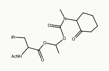 CC(=O)NC(CC(C)C)C(=O)OC(C)OC(=O)N(C)C1CCCCC1=O